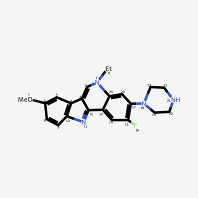 CCn1cc2c3cc(OC)ccc3nc-2c2cc(F)c(N3CCNCC3)cc21